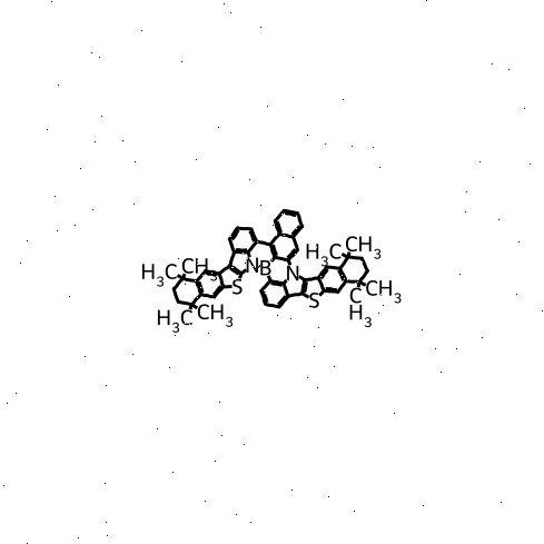 CC1(C)CCC(C)(C)c2cc3c(cc21)sc1c3c2cccc3c2n1B1c2c(cc4ccccc4c2-3)-n2c3c1cccc3c1sc3cc4c(cc3c12)C(C)(C)CCC4(C)C